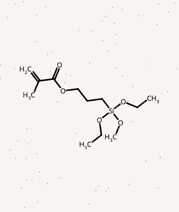 C=C(C)C(=O)OCCC[Si](OC)(OCC)OCC